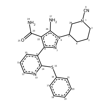 N#CN1CCCC(n2nc(-c3cccnc3Sc3ccccc3)c(C(N)=O)c2N)C1